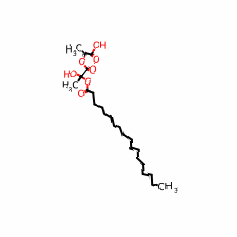 CCCCCCCCCCCCCCCCCC(=O)OC(C)(O)C(=O)O[C@@H](C)C(=O)O